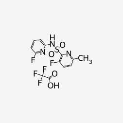 Cc1ccc(F)c(S(=O)(=O)Nc2cccc(F)n2)n1.O=C(O)C(F)(F)F